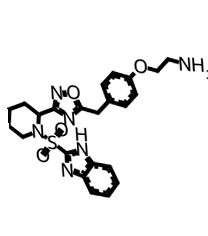 NCCOc1ccc(Cc2nc(C3CCCCN3S(=O)(=O)c3nc4ccccc4[nH]3)no2)cc1